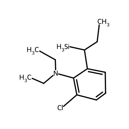 CCC([SiH3])c1cccc(Cl)c1N(CC)CC